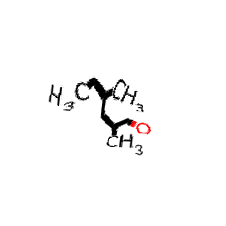 CC=C(C)C=C(C)C=O